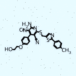 [C-]#[N+]c1c(N)nc(SCc2cnc(-c3ccc(C)cc3)s2)c(C#N)c1-c1ccc(OCCO)cc1